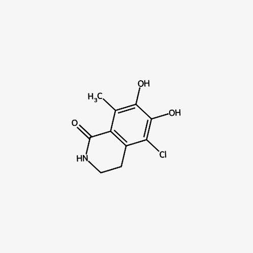 Cc1c(O)c(O)c(Cl)c2c1C(=O)NCC2